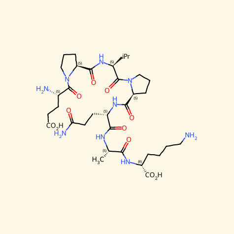 CC(C)[C@H](NC(=O)[C@@H]1CCCN1C(=O)[C@@H](N)CCC(=O)O)C(=O)N1CCC[C@H]1C(=O)N[C@@H](CCC(N)=O)C(=O)N[C@@H](C)C(=O)N[C@H](CCCCN)C(=O)O